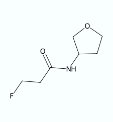 O=C(CCF)NC1CCOC1